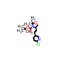 CC(C)(C)OC(=O)N1C(C=Cc2ccc(Cl)nc2)COC1(C)C